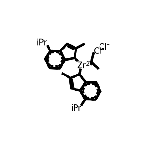 CC1=Cc2c(C(C)C)cccc2[CH]1[Zr+2](=[C](C)C)[CH]1C(C)=Cc2c(C(C)C)cccc21.[Cl-].[Cl-]